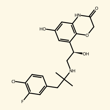 CC(C)(Cc1ccc(Cl)c(F)c1)NC[C@H](O)c1cc(O)cc2c1OCC(=O)N2